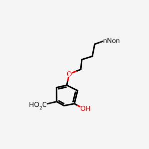 CCCCCCCCCCCCCOc1cc(O)cc(C(=O)O)c1